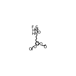 O=C(NCCCCc1cc(OCC2CO2)cc(OCC2CO2)c1)NSC(F)(F)F